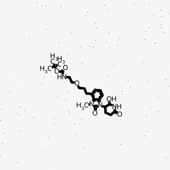 Cn1c(=O)n(C2CCC(=O)NC2O)c2cccc(CCCOCCNC(=O)OC(C)(C)C)c21